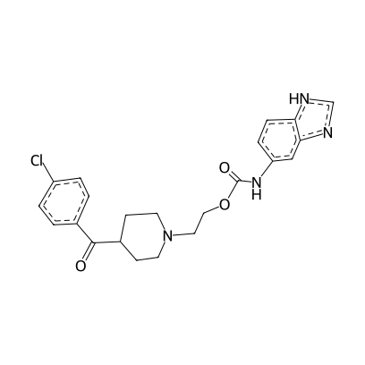 O=C(Nc1ccc2[nH]cnc2c1)OCCN1CCC(C(=O)c2ccc(Cl)cc2)CC1